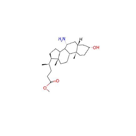 COC(=O)CC[C@@H](C)[C@H]1CCC2C3C(CC[C@@]21C)[C@@]1(C)CC[C@@H](O)C[C@H]1C[C@H]3N